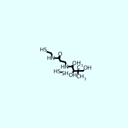 CC(C)(CO)C(O)C(=O)NCCC(=O)NCCS.SS